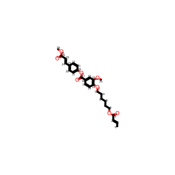 CC=CC(=O)OCCCCCCOc1ccc(C(=O)Oc2ccc(C=CC(=O)OC)cc2)cc1OC